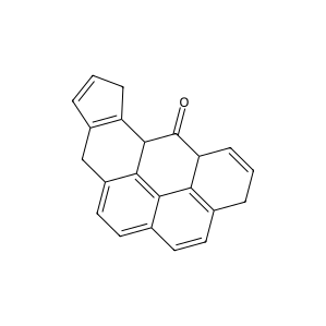 O=C1C2C=CCc3ccc4ccc5c(c4c32)C1C1=C(C=CC1)C5